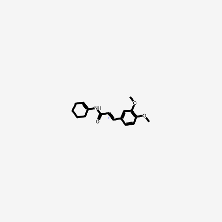 COc1ccc(/C=C/C(=O)NC2=CCCCC2)cc1OC